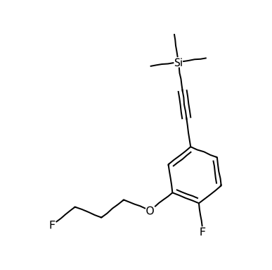 C[Si](C)(C)C#Cc1ccc(F)c(OCCCF)c1